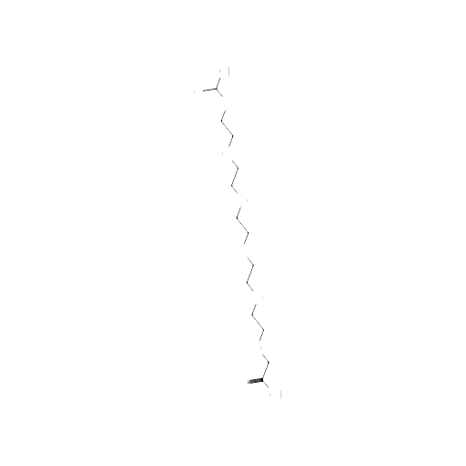 CC(C)OCCOCCOCCOCCOCCOCC(=O)O